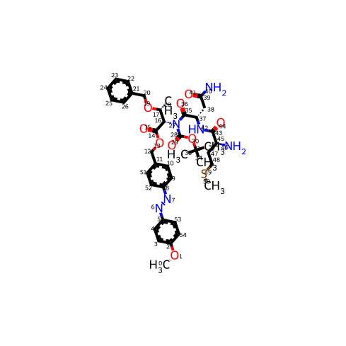 COc1ccc(N=Nc2ccc(COC(=O)[C@H]([C@@H](C)OCc3ccccc3)N(C(=O)OC(C)(C)C)C(=O)[C@H](CC(N)=O)NC(=O)[C@@H](N)CCSC)cc2)cc1